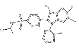 Cc1cc2c(cc1F)c(C#N)c(-c1ccc(S(=O)(=O)N[C@@H](C)C(F)(F)F)cn1)n2-c1ncccc1F